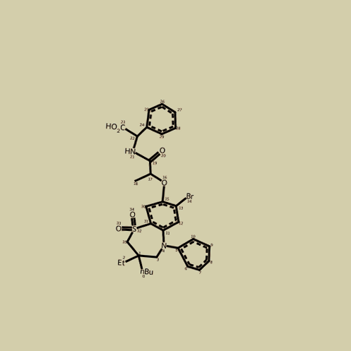 CCCCC1(CC)CN(c2ccccc2)c2cc(Br)c(OC(C)C(=O)NC(C(=O)O)c3ccccc3)cc2S(=O)(=O)C1